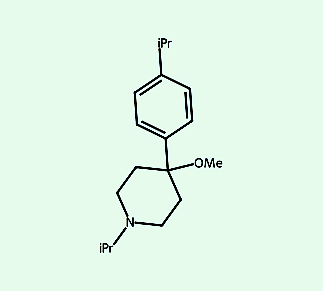 COC1(c2ccc(C(C)C)cc2)CCN(C(C)C)CC1